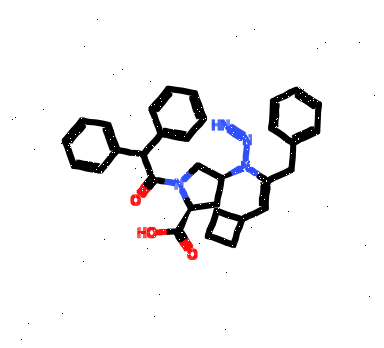 N=NN(/C(=C\C1CCC1)Cc1ccccc1)[C@H]1C[C@@H](C(=O)O)N(C(=O)C(c2ccccc2)c2ccccc2)C1